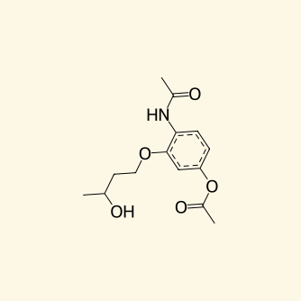 CC(=O)Nc1ccc(OC(C)=O)cc1OCCC(C)O